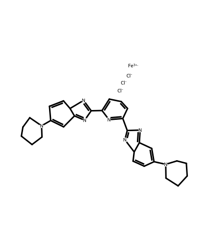 C1=CC2N=C(c3cccc(C4=NC5C=CC(N6CCCCC6)=CC5=N4)n3)N=C2C=C1N1CCCCC1.[Cl-].[Cl-].[Cl-].[Fe+3]